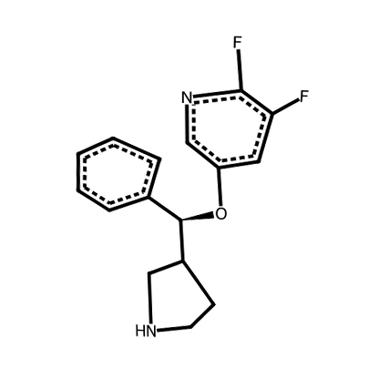 Fc1cc(O[C@H](c2ccccc2)C2CCNC2)cnc1F